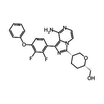 Nc1nccn2c([C@H]3CC[C@@H](CO)OC3)nc(-c3ccc(Oc4ccccc4)c(F)c3F)c12